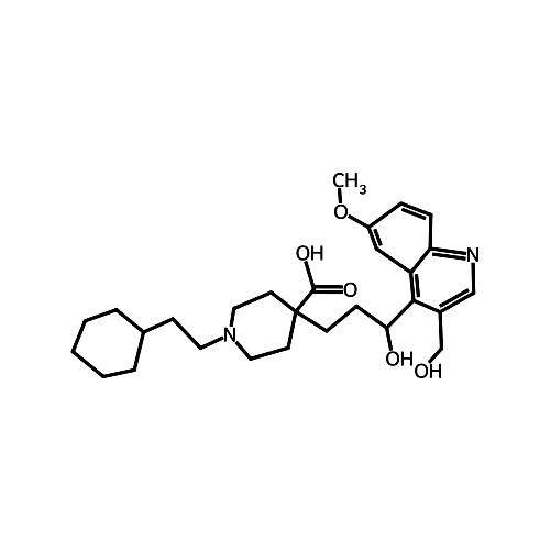 COc1ccc2ncc(CO)c(C(O)CCC3(C(=O)O)CCN(CCC4CCCCC4)CC3)c2c1